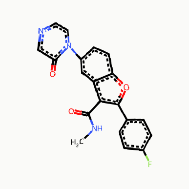 CNC(=O)c1c(-c2ccc(F)cc2)oc2ccc(-n3ccncc3=O)cc12